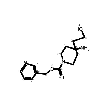 NC1(CCO)CCN(C(=O)OCc2ccccc2)CC1